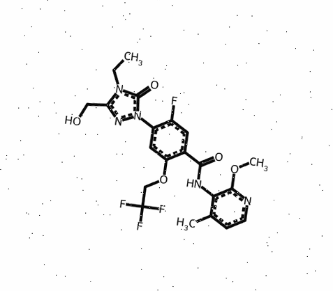 CCn1c(CO)nn(-c2cc(OCC(F)(F)F)c(C(=O)Nc3c(C)ccnc3OC)cc2F)c1=O